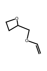 C=COCC1CCO1